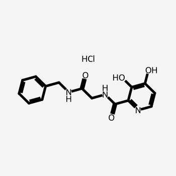 Cl.O=C(CNC(=O)c1nccc(O)c1O)NCc1ccccc1